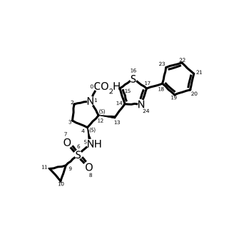 O=C(O)N1CC[C@H](NS(=O)(=O)C2CC2)[C@@H]1Cc1csc(-c2ccccc2)n1